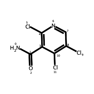 NC(=O)c1c(Cl)ncc(Cl)c1Cl